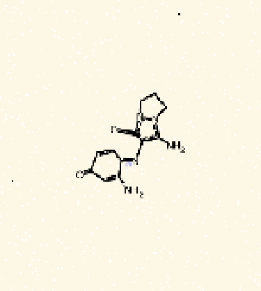 NC1=CC(=O)C=C/C1=N\c1c(N)n2n(c1=O)CCC2